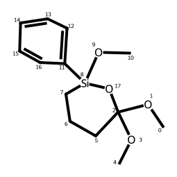 COC1(OC)CCC[Si](OC)(c2ccccc2)O1